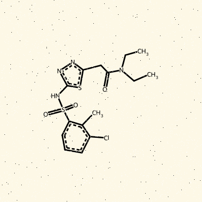 CCN(CC)C(=O)Cc1nnc(NS(=O)(=O)c2cccc(Cl)c2C)s1